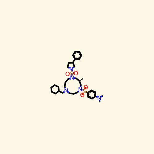 C[C@H]1CN(S(=O)(=O)c2ccc(N(C)C)cc2)CCCN(CC2CCCCC2)CCCN(S(=O)(=O)N2CCC(c3ccccc3)C2)C1